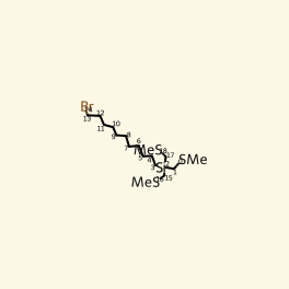 CSC[Si](CCCCCCCCCCCBr)(CSC)CSC